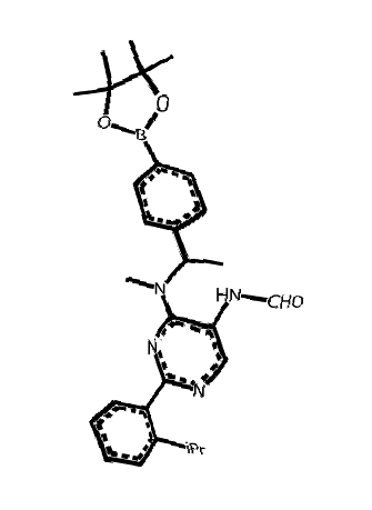 CC(C)c1ccccc1-c1ncc(NC=O)c(N(C)C(C)c2ccc(B3OC(C)(C)C(C)(C)O3)cc2)n1